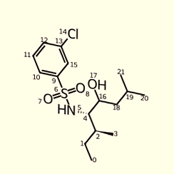 CC[C@H](C)[C@H](NS(=O)(=O)c1cccc(Cl)c1)C(O)CC(C)C